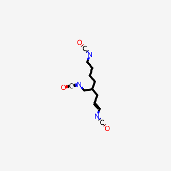 O=C=NC=CCC(CCCCN=C=O)CN=C=O